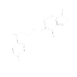 CCCc1c(OCCCN(C)c2ccc(C(=O)O)cn2)ccc2c(C(F)(F)F)noc12